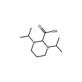 CC(C)N1CCCN(C(C)C)C1C(=O)O